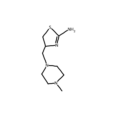 CN1CCN(CC2CSC(N)=N2)CC1